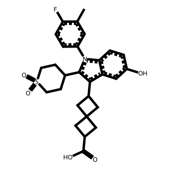 Cc1cc(-n2c(C3CCS(=O)(=O)CC3)c(C3CC4(CC(C(=O)O)C4)C3)c3cc(O)ccc32)ccc1F